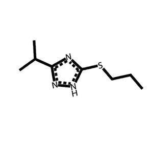 CCCSc1nc(C(C)C)n[nH]1